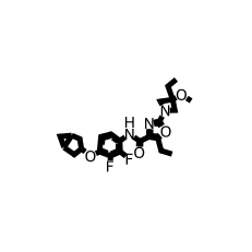 CCc1oc(N2CC(CC)(OC)C2)nc1C(=O)Nc1ccc(OC2CC3CC3C2)c(F)c1F